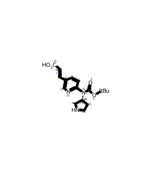 CC(C)(C)OC(=O)N(c1ccc(/C=C/C(=O)O)cn1)[C@@H]1CCNC1